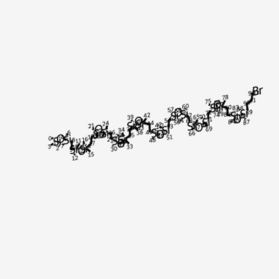 C[Si](C)(C)O[Si](C)(C)CC[Si](C)(C)O[Si](C)(C)CC[Si](C)(C)O[Si](C)(C)CC[Si](C)(C)O[Si](C)(C)CC[Si](C)(C)O[Si](C)(C)CC[Si](C)(C)O[Si](C)(C)CC[Si](C)(C)O[Si](C)(C)CC[Si](C)(C)O[Si](C)(C)CC[Si](C)(C)O[Si](C)(C)CC[Si](C)(C)O[Si](C)(C)CCCCBr